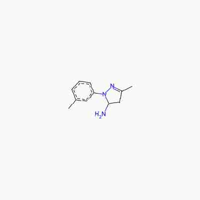 CC1=NN(c2cccc(C)c2)C(N)C1